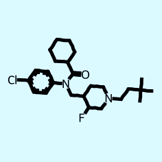 CC(C)(C)CCN1CCC(CN(C(=O)C2CCCCC2)c2ccc(Cl)cc2)C(F)C1